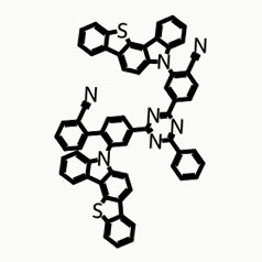 N#Cc1ccccc1-c1ccc(-c2nc(-c3ccccc3)nc(-c3ccc(C#N)c(-n4c5ccccc5c5c6sc7ccccc7c6ccc54)c3)n2)cc1-n1c2ccccc2c2c3sc4ccccc4c3ccc21